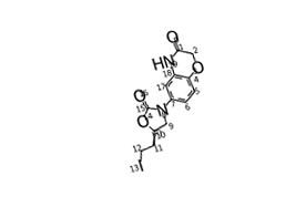 O=C1COc2ccc(N3C[C@@H](CCI)OC3=O)cc2N1